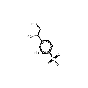 O=S(=O)([O-])c1ccc(C(O)CO)cc1.[Na+]